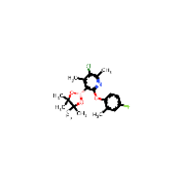 Cc1cc(F)ccc1Oc1nc(C)c(Cl)c(C)c1B1OC(C)(C)C(C)(C)O1